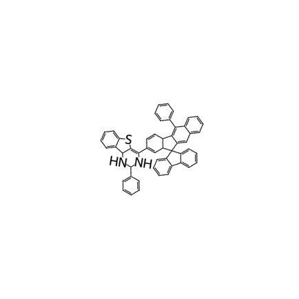 C1=CC2c3c(cc4ccccc4c3-c3ccccc3)C3(c4ccccc4-c4ccccc43)C2C=C1C1=C2Sc3ccccc3C2NC(c2ccccc2)N1